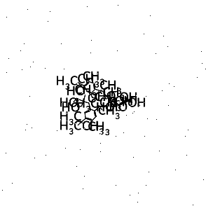 Cc1cc(C(C)(C)C)c(OC(c2cc(C(C)(C)C)c(C)cc2C(C)(C)C)C(CO)(CO)CO)cc1C(C)(C)C.OP(O)O.OP(O)O